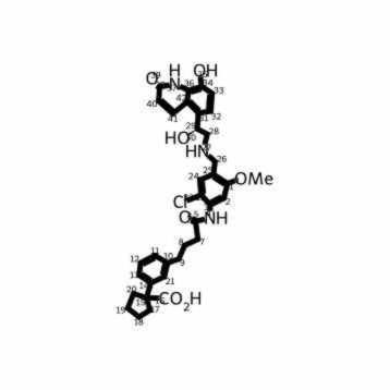 COc1cc(NC(=O)CCCc2cccc(C3(C(=O)O)CCCC3)c2)c(Cl)cc1CNC[C@H](O)c1ccc(O)c2[nH]c(=O)ccc12